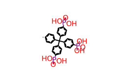 O=P(O)(O)c1ccc(C(c2cc[c]cc2)(c2ccc(P(=O)(O)O)cc2)c2ccc(P(=O)(O)O)cc2)cc1